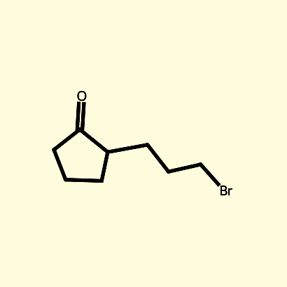 O=C1CCCC1CCCBr